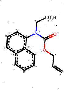 C=CCOC(=O)N(CC(=O)O)c1cccc2ccccc12